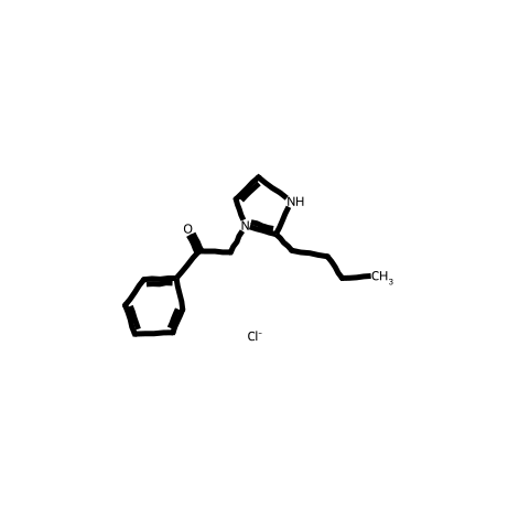 CCCCc1[nH]cc[n+]1CC(=O)c1ccccc1.[Cl-]